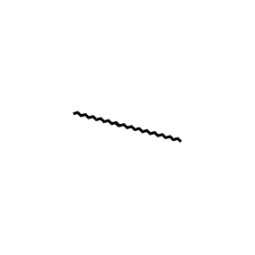 CCCCCCCCCCCC=CCCCCCCCCCCCCCCCC